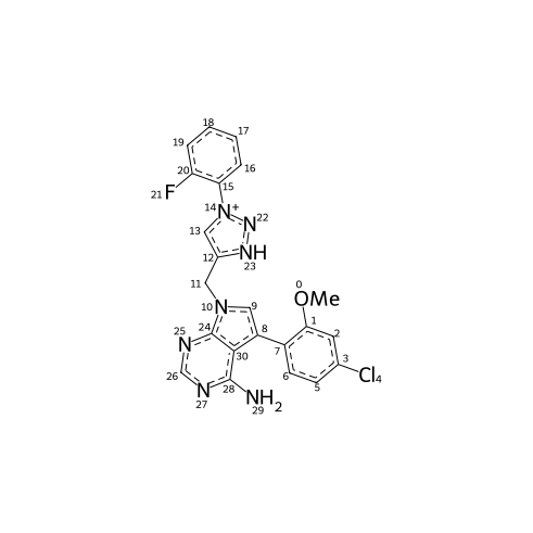 COc1cc(Cl)ccc1-c1cn(Cc2c[n+](-c3ccccc3F)n[nH]2)c2ncnc(N)c12